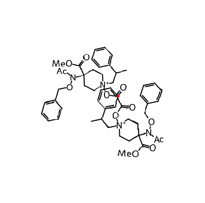 COC(=O)C1(N(OCc2ccccc2)C(C)=O)CC[N+](CC(C)c2ccccc2)(OC(=O)C(=O)O[N+]2(CC(C)c3ccccc3)CCC(C(=O)OC)(N(OCc3ccccc3)C(C)=O)CC2)CC1